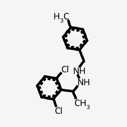 Cc1ccc(CNNC(C)c2c(Cl)cccc2Cl)cc1